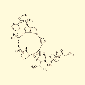 C=CC(=O)N1CC[C@H]2[C@@H]1CN2C(=O)N(C)C(C(=O)N[C@H]1Cc2nc(cs2)-c2ccc3c(c2)c(c(-c2cccnc2[C@H](C)OC)n3CC)CC(C)(C)COC(=O)[C@@H]2CCCN(N2)C1=O)C(C)C